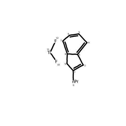 CCCC1=Cc2ccccc2[CH]1.[F][Ti][F]